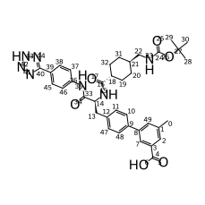 Cc1cc(C(=O)O)cc(-c2ccc(C[C@H](NC(=O)[C@H]3CC[C@H](CNC(=O)OC(C)(C)C)CC3)C(=O)Nc3ccc(-c4nn[nH]n4)cc3)cc2)c1